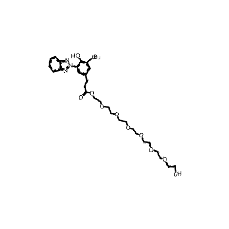 CC(C)(C)c1cc(CCC(=O)OCCOCCOCCOCCOCCOCCOCCO)cc(-n2nc3ccccc3n2)c1O